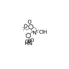 CNS(=O)(=O)c1cccc(C2=NC(C)(C)Cc3cc(OC)c4c(c32)CC(C)(C)O4)c1.Cl